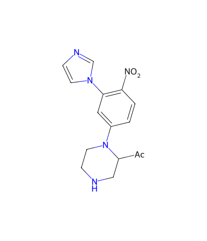 CC(=O)C1CNCCN1c1ccc([N+](=O)[O-])c(-n2ccnc2)c1